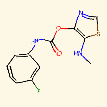 CNc1scnc1OC(=O)Nc1cccc(F)c1